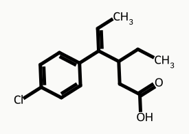 CC=C(c1ccc(Cl)cc1)C(CC)CC(=O)O